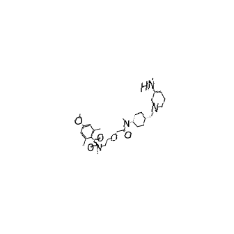 CN[C@H]1CCCN(C[C@H]2CC[C@@H](N(C)C(=O)COCCN(C)S(=O)(=O)c3c(C)cc(OC)cc3C)CC2)C1